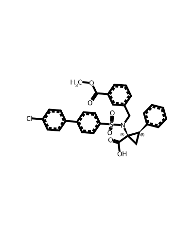 COC(=O)c1cccc(CN([C@]2(C(=O)O)C[C@@H]2c2ccccc2)S(=O)(=O)c2ccc(-c3ccc(Cl)cc3)cc2)c1